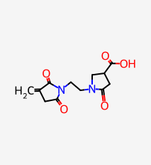 C=C1CC(=O)N(CCN2CC(C(=O)O)CC2=O)C1=O